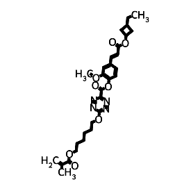 C=C(C)C(=O)OCCCCCCOc1nnc(C(=O)Oc2ccc(/C=C/C(=O)OC3CC(CC)C3)cc2OC)nn1